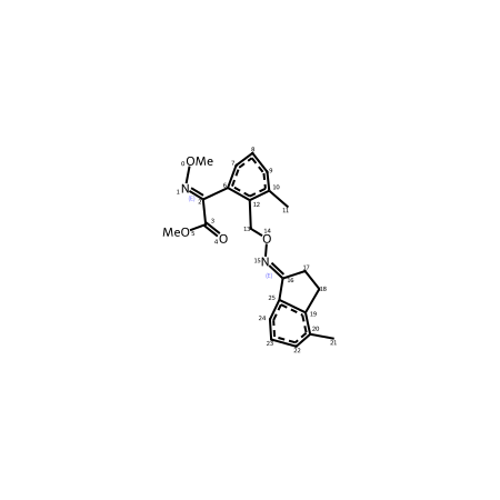 CO/N=C(/C(=O)OC)c1cccc(C)c1CO/N=C1\CCc2c(C)cccc21